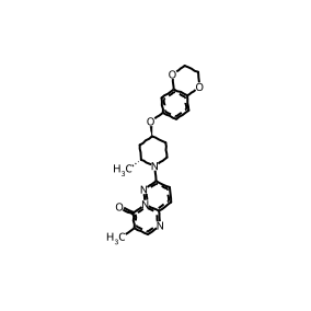 Cc1cnc2ccc(N3CC[C@H](Oc4ccc5c(c4)OCCO5)C[C@H]3C)nn2c1=O